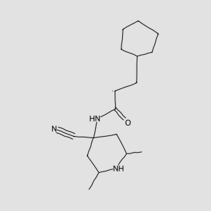 CC1CC(C#N)(NC(=O)[CH]CC2CCCCC2)CC(C)N1